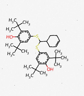 CC(C)(C)c1cc(SC(Sc2cc(C(C)(C)C)c(O)c(C(C)(C)C)c2)C2CC=CCC2)cc(C(C)(C)C)c1O